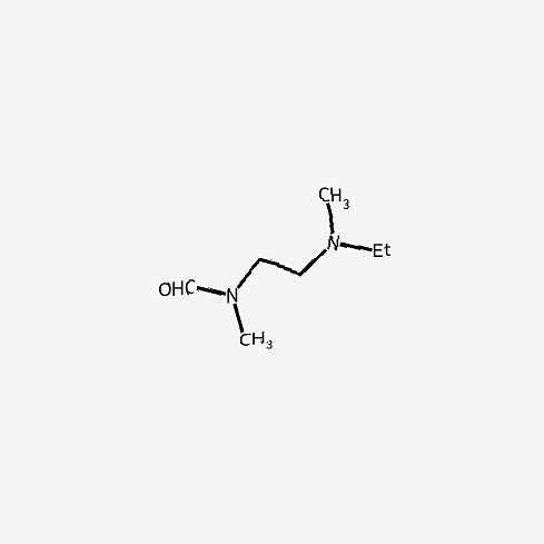 CCN(C)CCN(C)C=O